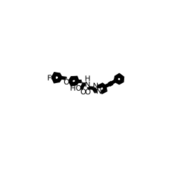 O=C(N[C@@H](Cc1ccc(OCc2ccc(F)cc2)cc1)C(=O)O)c1cn2ccc(C#Cc3ccccc3)cc2n1